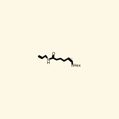 C=CCNC(=O)CCC/C=C\CCCCCC